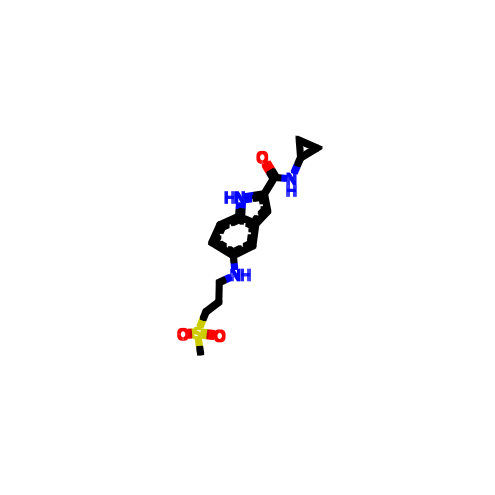 CS(=O)(=O)CCCNc1ccc2[nH]c(C(=O)NC3CC3)cc2c1